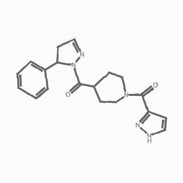 O=C(c1cc[nH]n1)N1CCC(C(=O)N2N=CCC2c2ccccc2)CC1